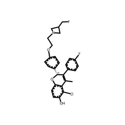 CC1=C(c2ccc(F)cc2)[C@@H](c2ccc(OCCN3CC(CF)C3)cc2)Oc2ccc(O)c(Cl)c21